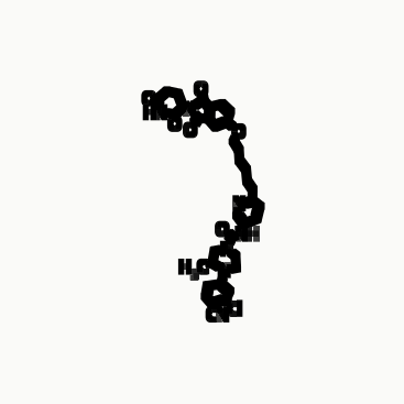 C[C@H]1CN(C(=O)Nc2ccc(CCCCCCOc3ccc4c(c3)C(=O)N(C3CCC(=O)NC3=O)C4=O)nc2)CCN1c1ccc(C#N)c(Cl)c1